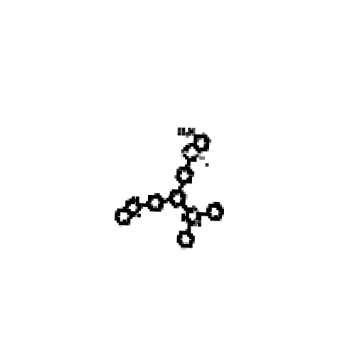 C=C(/N=C\c1ccccc1N)c1ccc(-c2cc(-c3ccc(-c4ncc5ccccc5n4)cc3)cc(-c3nc(-c4ccccc4)nc(-c4ccccc4)n3)c2)cc1